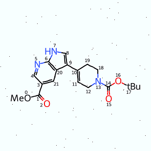 COC(=O)c1cnc2[nH]cc(C3=CCN(C(=O)OC(C)(C)C)CC3)c2c1